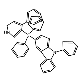 C1=C(c2ccccc2)C(S(c2ccccc2)(c2ccccc2)c2ccc3c(c2)c2ccccc2n3-c2ccccc2)=CNC1